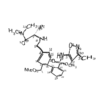 COCc1cc(CN[C@H](C(=O)N(C)C)C(C)C)ccc1-c1ccccc1S(=O)(=O)Nc1onc(C)c1C